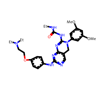 CCNC(=O)NC1=Nc2nc(Nc3ccc(OCCN(CC)CC)cc3)ncc2CN1c1cc(OC)cc(OC)c1